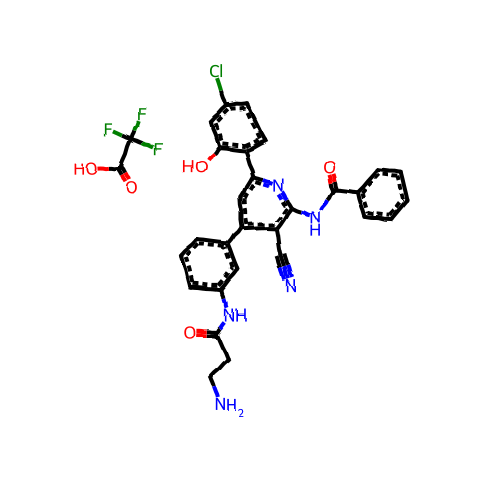 N#Cc1c(-c2cccc(NC(=O)CCN)c2)cc(-c2ccc(Cl)cc2O)nc1NC(=O)c1ccccc1.O=C(O)C(F)(F)F